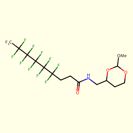 COC1OCCC(CNC(=O)CCC(F)(F)C(F)(F)C(F)(F)C(F)(F)C(F)(F)C(F)(F)F)O1